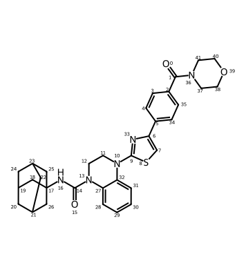 O=C(c1ccc(-c2csc(N3CCN(C(=O)NC45CC6CC(CC(C6)C4)C5)c4ccccc43)n2)cc1)N1CCOCC1